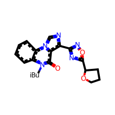 CCC(C)n1c(=O)c2c(-c3noc(C4CCCO4)n3)ncn2c2ccccc21